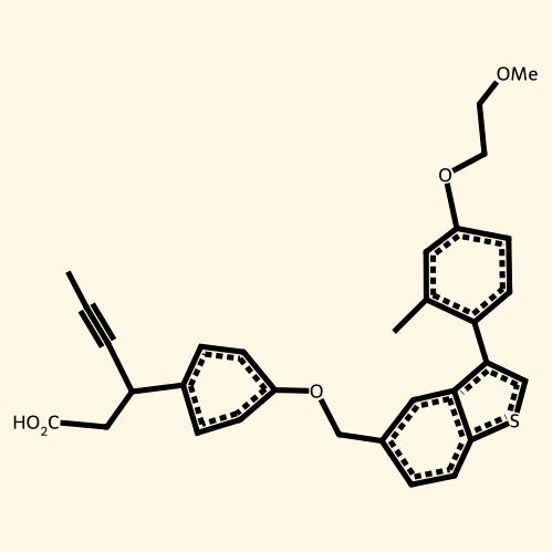 CC#CC(CC(=O)O)c1ccc(OCc2ccc3scc(-c4ccc(OCCOC)cc4C)c3c2)cc1